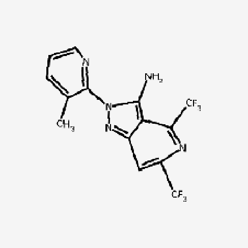 Cc1cccnc1-n1nc2cc(C(F)(F)F)nc(C(F)(F)F)c2c1N